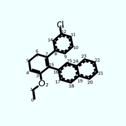 CCOC1=CC[CH]C(c2cccc(Cl)c2)=C1c1ccc2ccccc2c1